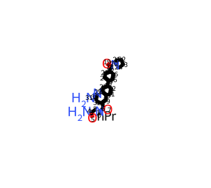 CCCN(CC(N)=O)C(=O)C1=Cc2ccc(-c3ccc(C(=O)N4CCCC4)cc3)cc2N=C(N)C1